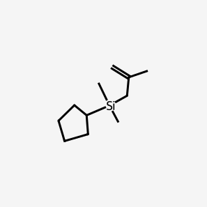 C=C(C)C[Si](C)(C)C1CCCC1